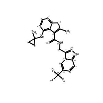 Cc1oc2ncnc(NC3(C)CC3)c2c1C(=O)NCc1nnc2ccc(C(F)(F)F)cn12